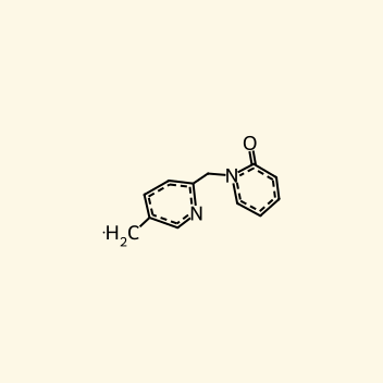 [CH2]c1ccc(Cn2ccccc2=O)nc1